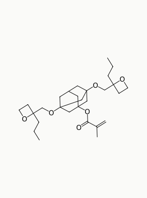 C=C(C)C(=O)OC12CC3CC(OCC4(CCC)CCO4)(CC(OCC4(CCC)CCO4)(C3)C1)C2